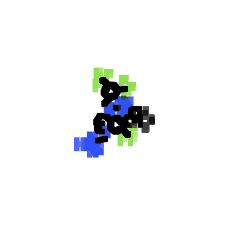 Cc1cc2c(cc1C(F)(F)F)N(Cc1nn[nH]n1)CCC[C@@H]2N(Cc1cc(C(F)(F)F)cc(C(F)(F)F)c1)c1nnn(C)n1